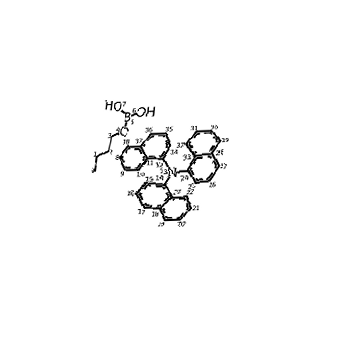 CCCCOB(O)O.c1ccc2c(N(c3cccc4ccccc34)c3cccc4ccccc34)cccc2c1